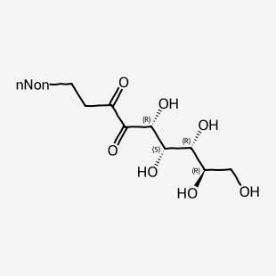 CCCCCCCCCCCC(=O)C(=O)[C@H](O)[C@@H](O)[C@H](O)[C@H](O)CO